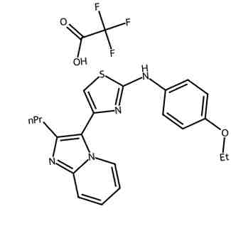 CCCc1nc2ccccn2c1-c1csc(Nc2ccc(OCC)cc2)n1.O=C(O)C(F)(F)F